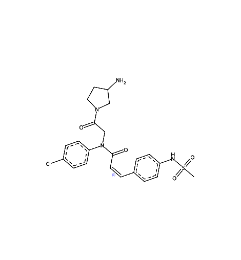 CS(=O)(=O)Nc1ccc(/C=C\C(=O)N(CC(=O)N2CCC(N)C2)c2ccc(Cl)cc2)cc1